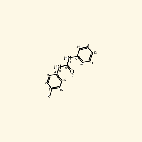 [CH2]c1ccc(NC(=O)Nc2ccccc2)cc1